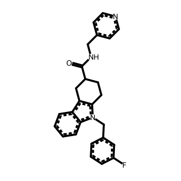 O=C(NCc1ccncc1)C1CCc2c(c3ccccc3n2Cc2cccc(F)c2)C1